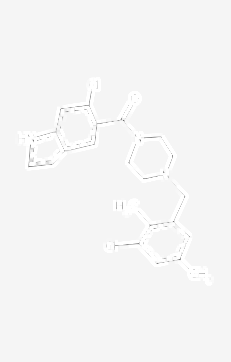 Cc1cc(Cl)c(C)c(CN2CCN(C(=O)c3cc4cc[nH]c4cc3Cl)CC2)c1